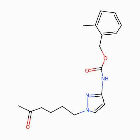 CC(=O)CCCCn1ccc(NC(=O)OCc2ccccc2C)n1